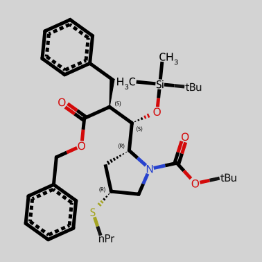 CCCS[C@@H]1C[C@H]([C@@H](O[Si](C)(C)C(C)(C)C)[C@H](Cc2ccccc2)C(=O)OCc2ccccc2)N(C(=O)OC(C)(C)C)C1